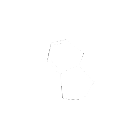 [CH]1OCC2CC=CC=C12